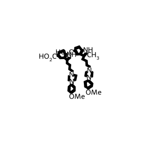 COc1ccc(N2CCN(CCCCc3c(C)[nH]c4ccc(C(=O)O)cc34)CC2)cc1.COc1ccc(N2CCN(CCCCc3c[nH]c4ccc(C(=O)O)cc34)CC2)cc1